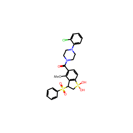 COc1c(C(=O)N2CCN(c3ccccc3Cl)CC2)ccc2c1C(S(=O)(=O)c1ccccc1)CS2(O)O